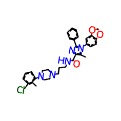 Cc1c(Cl)cccc1N1CCN(CCCNC(=O)c2nc(-c3ccccc3)n(-c3ccc4c(c3)OCO4)c2C)CC1